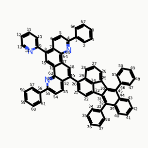 c1ccc(-c2ccc3c(-c4ccccn4)cc4c(cc(-c5ccc6c7c(cccc57)-c5c-6c(-c6ccccc6)c6ccccc6c5-c5ccccc5)c5ccc(-c6ccccc6)nc54)c3n2)cc1